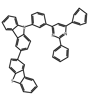 c1ccc(-c2cc(-c3cccc(-n4c5ccccc5c5cc(-c6ccc7sc8ccccc8c7c6)ccc54)c3)nc(-c3ccccc3)n2)cc1